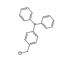 ClCc1ccc(P(c2ccccc2)c2ccccc2)cc1